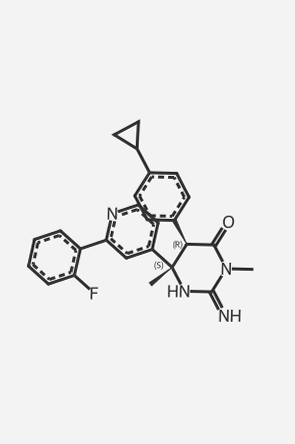 CN1C(=N)N[C@](C)(c2ccnc(-c3ccccc3F)c2)[C@@H](c2ccc(C3CC3)cc2)C1=O